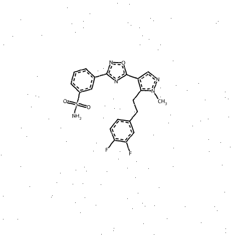 Cn1ncc(-c2nc(-c3cccc(S(N)(=O)=O)c3)no2)c1CCc1ccc(F)c(F)c1